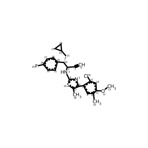 C#CC(Nc1nc(-c2cc(C)c(OC)cc2Cl)c(C)s1)[C@@H](CC1CC1)c1ccc(F)cc1